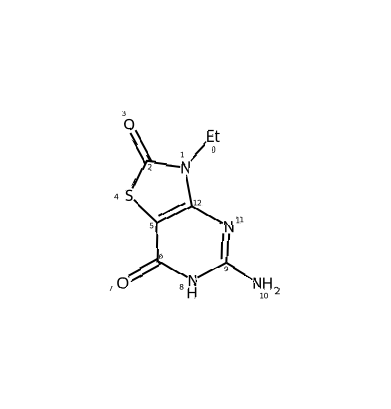 CCn1c(=O)sc2c(=O)[nH]c(N)nc21